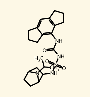 CC(C)N1C2CCC1C(NS(=O)(=O)NC(=O)Nc1c3c(cc4c1CCC4)CCC3)C2